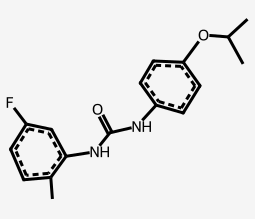 Cc1ccc(F)cc1NC(=O)Nc1ccc(OC(C)C)cc1